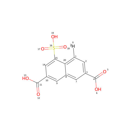 [2H]c1cc(C(=O)O)cc2cc(C(=O)O)cc(S(=O)(=O)O)c12